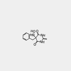 C=C1NC(=O)C(Cc2ccccc2)(NO)C(=O)N1